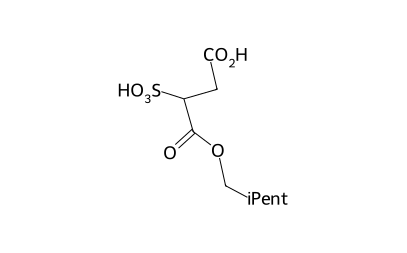 CCCC(C)COC(=O)C(CC(=O)O)S(=O)(=O)O